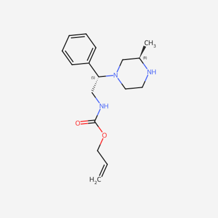 C=CCOC(=O)NC[C@H](c1ccccc1)N1CCN[C@H](C)C1